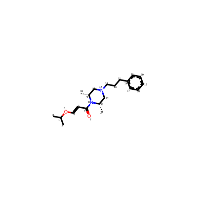 CC(C)OC=CC(=O)N1[C@H](C)CN(CCCc2ccccc2)C[C@@H]1C